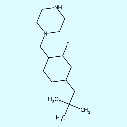 CC(C)(C)CC1CCC(CN2CCNCC2)C(F)C1